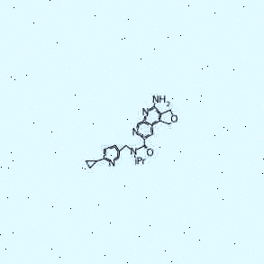 CC(C)N(Cc1ccc(C2CC2)nc1)C(=O)c1cc2c3c(c(N)nc2cn1)COC3